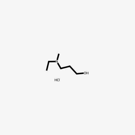 CCN(C)CCCO.Cl